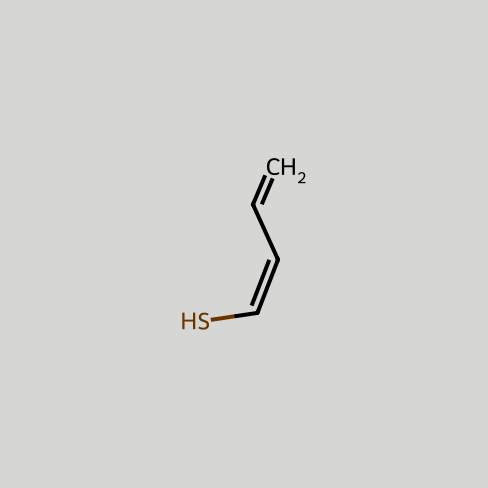 C=C/C=C\S